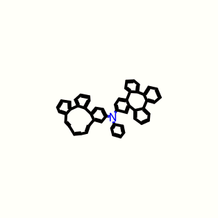 C1=C\C=C\c2cc(N(c3ccccc3)c3ccc4c(c3)-c3ccccc3-c3ccccc3-c3ccccc3-4)ccc2-c2ccccc2-c2ccccc2/C=C/1